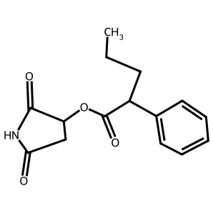 CCCC(C(=O)OC1CC(=O)NC1=O)c1ccccc1